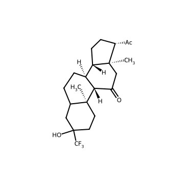 CC(=O)[C@H]1CC[C@H]2[C@@H]3CCC4CC(O)(C(F)(F)F)CC[C@]4(C)[C@H]3C(=O)C[C@]12C